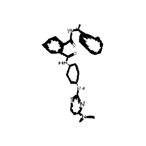 C[C@H](NC(=O)c1ccccc1C(=O)N[C@H]1CC[C@@H](Nc2nccc(N(C)C)n2)CC1)c1ccccc1